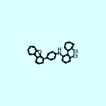 CCc1ccccc1-c1c(CC)cccc1Nc1ccc(-c2cccc3c2oc2ccccc23)cc1